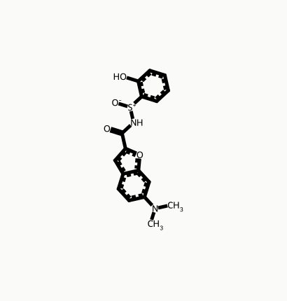 CN(C)c1ccc2cc(C(=O)N[S+]([O-])c3ccccc3O)oc2c1